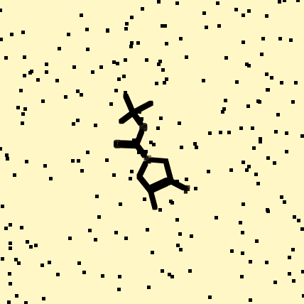 CC1=C(F)CN(C(=O)OC(C)(C)C)C1